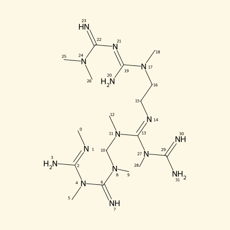 C/N=C(\N)N(C)C(=N)N(C)CN(C)/C(=N\CCN(C)/C(N)=N/C(=N)N(C)C)N(C)C(=N)N